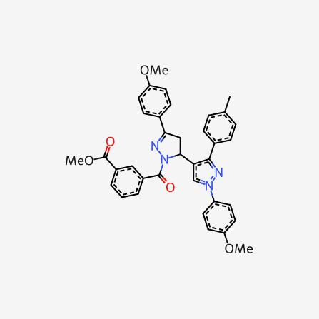 COC(=O)c1cccc(C(=O)N2N=C(c3ccc(OC)cc3)CC2c2cn(-c3ccc(OC)cc3)nc2-c2ccc(C)cc2)c1